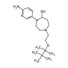 CC(C)(C)[Si](C)(C)OCCN1CCC(O)N(c2ccc(N)nc2)CC1